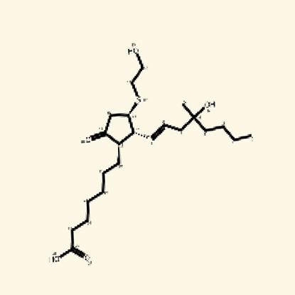 CCCCC(C)(O)CC=C[C@H]1[C@H](SCCO)CC(=O)[C@@H]1CCCCCCC(=O)O